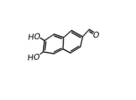 O=Cc1ccc2cc(O)c(O)cc2c1